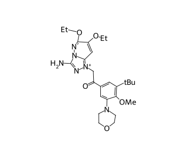 CCOc1cc2n(nc1OCC)c(N)n[n+]2CC(=O)c1cc(N2CCOCC2)c(OC)c(C(C)(C)C)c1